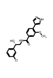 COc1cc(C(=O)NC[C@@H](O)c2cccc(Cl)c2)ccc1-c1cn[nH]c1